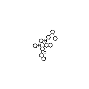 c1ccc(-c2ccccc2-c2ccc(-n3c4cccc(N(c5ccccc5)c5ccc6oc7c8ccccc8ccc7c6c5)c4c4ccc5ccccc5c43)cc2)cc1